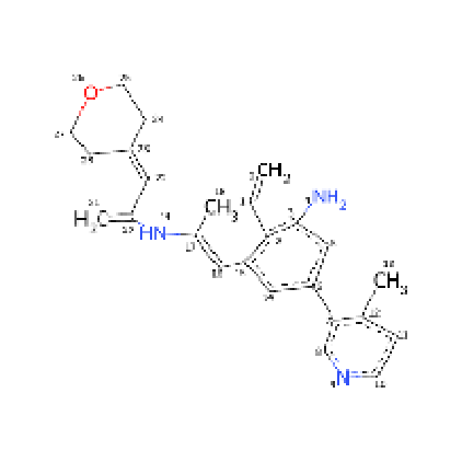 C=Cc1c(N)cc(-c2cnccc2C)cc1/C=C(\C)NC(=C)C=C1CCOCC1